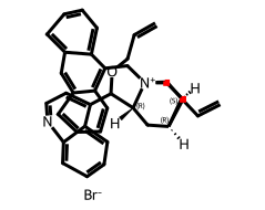 C=CCOC(c1ccnc2ccccc12)[C@H]1C[C@H]2CC[N+]1(Cc1c3ccccc3cc3ccccc13)C[C@H]2C=C.[Br-]